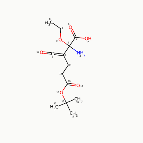 CCOC(N)(C(=O)O)C(=C=O)CCC(=O)OC(C)(C)C